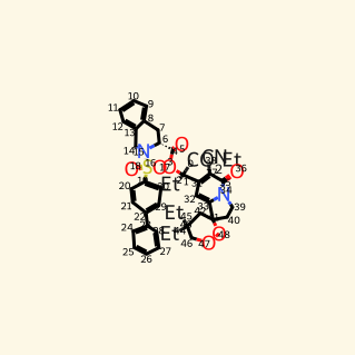 CCOC(=O)C(CC)(OC(=O)[C@H]1Cc2ccccc2CN1S(=O)(=O)c1ccc(-c2ccccc2)cc1)c1cc2n(c(=O)c1C#N)CCC21CC(CC)(CC)COO1